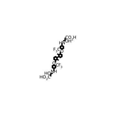 Cc1c(COc2ccc(CNC[C@@H](O)CC(=O)O)cc2C(F)(F)F)cccc1-c1cccc(COc2ccc(CNC[C@@H](O)CC(=O)O)cc2C(F)(F)F)c1C